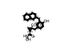 CCOC(=O)[C@@]1(Cc2ccc(O)c(Cc3ccc4ccccc4c3)c2)C[C@@H]1C(=O)NO